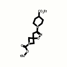 CCOC(=O)C1CCN(C2=NOC3(C2)CN(C(=O)OC(C)(C)C)C3)CC1